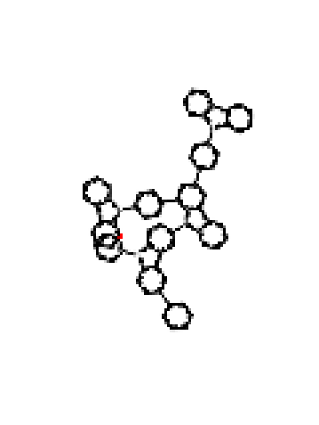 c1ccc(-c2ccc3c(c2)c2cc(-n4c5ccccc5c5cc(-c6ccc(-n7c8ccccc8c8ccccc87)cc6)cc(-c6ccc(-n7c8ccccc8c8ccccc87)cc6)c54)ccc2n3-c2ccccc2)cc1